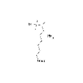 CCCCCCCCCCCCCCC(C)C(C)(C)Br.P